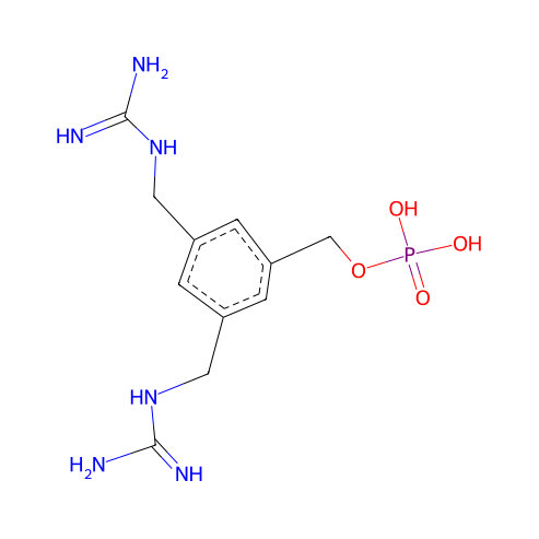 N=C(N)NCc1cc(CNC(=N)N)cc(COP(=O)(O)O)c1